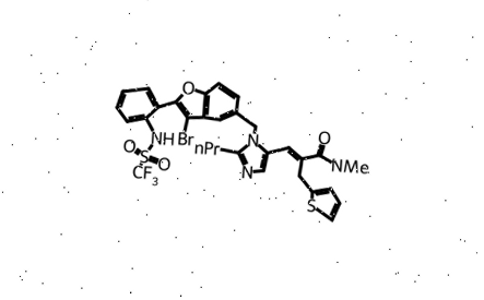 CCCc1ncc(/C=C(\Cc2cccs2)C(=O)NC)n1Cc1ccc2oc(-c3ccccc3NS(=O)(=O)C(F)(F)F)c(Br)c2c1